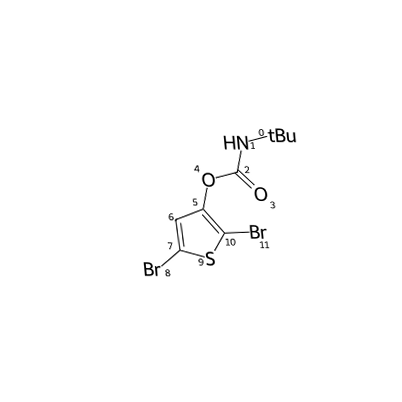 CC(C)(C)NC(=O)Oc1cc(Br)sc1Br